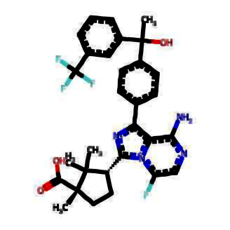 CC(O)(c1ccc(-c2nc([C@@H]3CC[C@](C)(C(=O)O)C3(C)C)n3c(F)cnc(N)c23)cc1)c1cccc(C(F)(F)F)c1